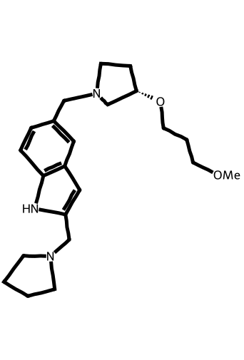 COCCCO[C@H]1CCN(Cc2ccc3[nH]c(CN4CCCC4)cc3c2)C1